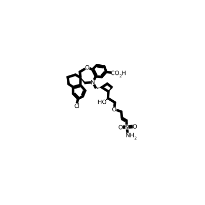 NS(=O)(=O)/C=C/COC[C@H](O)[C@@H]1CC[C@H]1CN1C[C@@]2(CCCc3cc(Cl)ccc32)COc2ccc(C(=O)O)cc21